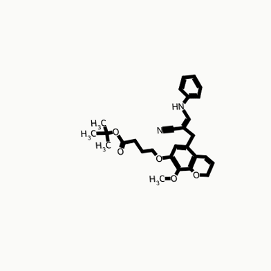 COc1c(OCCCC(=O)OC(C)(C)C)cc(CC(C#N)=CNc2ccccc2)c2c1OCC=C2